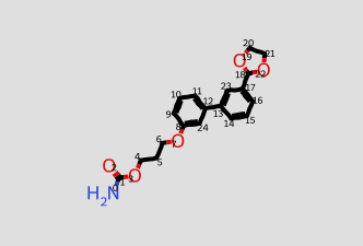 NC(=O)OCCCOc1cccc(-c2cccc(C3OCCO3)c2)c1